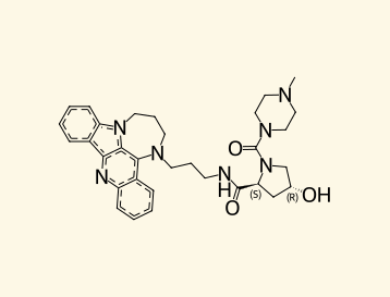 CN1CCN(C(=O)N2C[C@H](O)C[C@H]2C(=O)NCCCN2CCCn3c4ccccc4c4nc5ccccc5c2c43)CC1